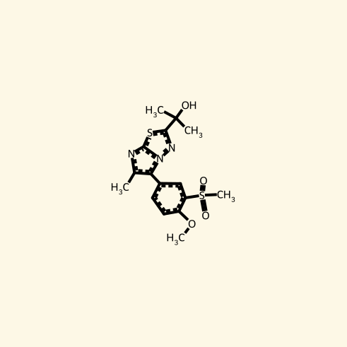 COc1ccc(-c2c(C)nc3sc(C(C)(C)O)nn23)cc1S(C)(=O)=O